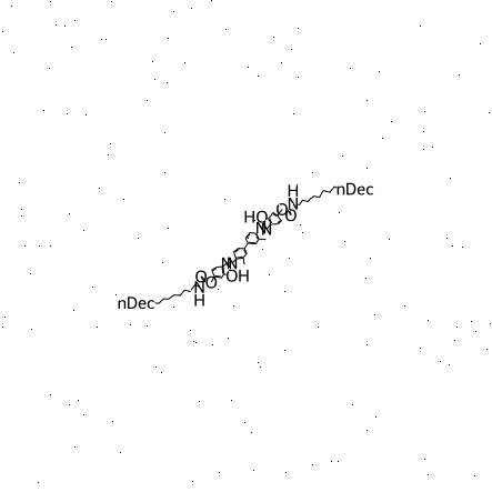 CCCCCCCCCCCCCCCCCCNC(=O)Oc1ccc(N=Nc2ccc(-c3ccc(N=Nc4ccc(OC(=O)NCCCCCCCCCCCCCCCCCC)cc4O)c(C)c3)cc2C)c(O)c1